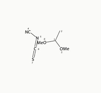 COC(C)OC.N#CN=C=S